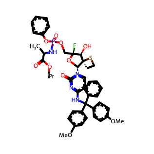 COc1ccc(C(Nc2ccn([C@@H]3O[C@](F)(COP(=O)(NC(C)C(=O)OC(C)C)Oc4ccccc4)[C@@H](O)[C@]34CCS4)c(=O)n2)(c2ccccc2)c2ccc(OC)cc2)cc1